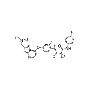 CCN(CC)Cc1cc2nccc(Oc3ccc(NC(=O)C4(C(=O)Nc5ccc(F)cc5)CC4)c(C)c3)c2s1